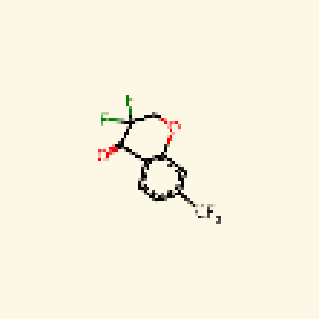 O=C1c2ccc(C(F)(F)F)cc2OCC1(F)F